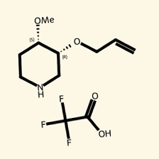 C=CCO[C@@H]1CNCC[C@@H]1OC.O=C(O)C(F)(F)F